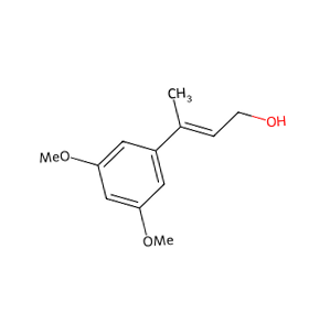 COc1cc(OC)cc(/C(C)=C/CO)c1